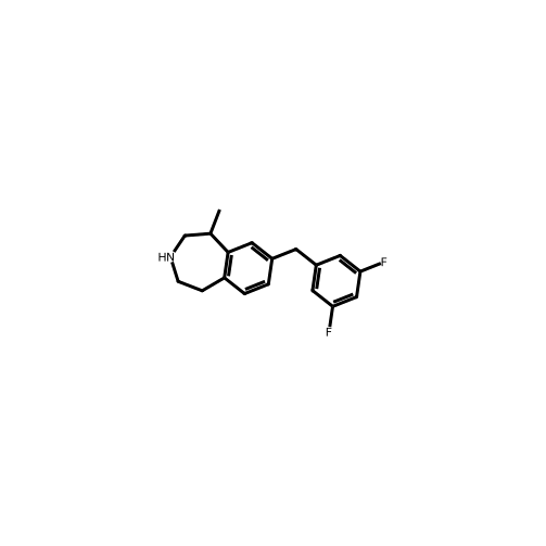 CC1CNCCc2ccc(Cc3cc(F)cc(F)c3)cc21